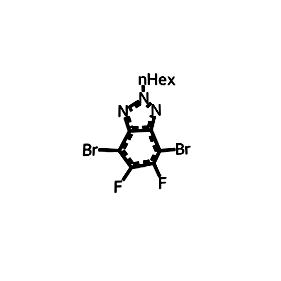 CCCCCCn1nc2c(Br)c(F)c(F)c(Br)c2n1